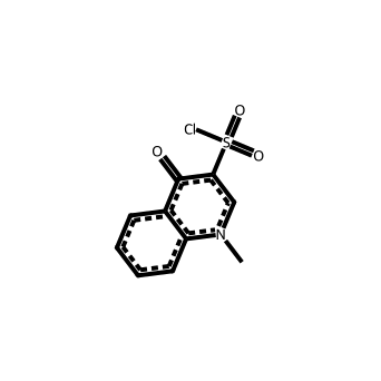 Cn1cc(S(=O)(=O)Cl)c(=O)c2ccccc21